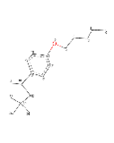 CCCCCOc1ccc(C(C)CC(C)(C)C)cc1